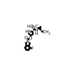 C=C[C@@H]1C[C@]1(NC(=O)[C@@H]1C[C@@H](OC(=O)N2Cc3cccc(F)c3C2)CN1)C(=O)O